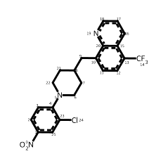 O=[N+]([O-])c1ccc(N2CCC(Cc3ccc(C(F)(F)F)c4cccnc34)CC2)c(Cl)c1